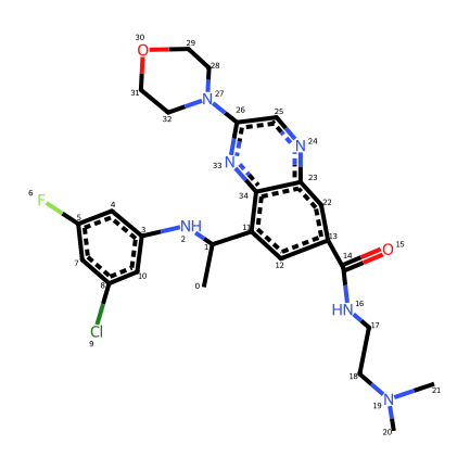 CC(Nc1cc(F)cc(Cl)c1)c1cc(C(=O)NCCN(C)C)cc2ncc(N3CCOCC3)nc12